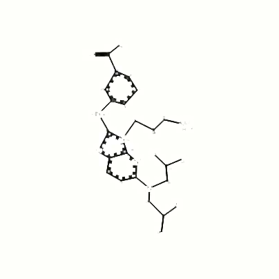 CC(=O)c1cccc(Nc2nc3ccc(N(CC(C)C)CC(C)C)nc3n2CCCN)c1